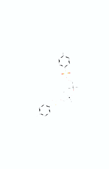 [2H]C([2H])(COS(=O)(=O)c1ccc(C)cc1)OC([2H])([2H])COS(=O)(=O)c1ccc(C)cc1